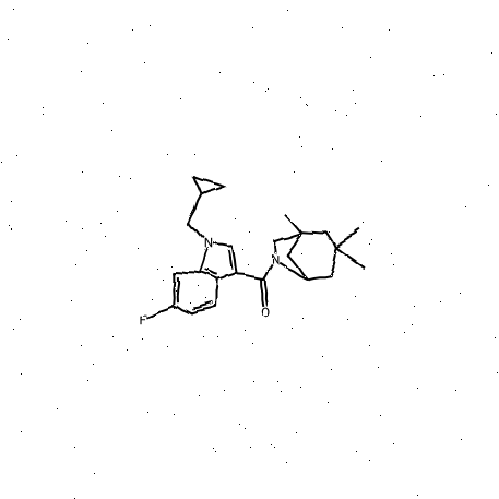 CC1(C)CC2CC(C)(CN2C(=O)c2cn(CC3CC3)c3cc(F)ccc23)C1